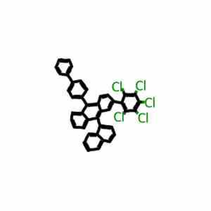 Clc1c(Cl)c(Cl)c(-c2ccc3c(-c4ccc(-c5ccccc5)cc4)c4ccccc4c(-c4cccc5ccccc45)c3c2)c(Cl)c1Cl